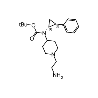 CC(C)(C)OC(=O)N(C1CCN(CCN)CC1)[C@@H]1C[C@H]1c1ccccc1